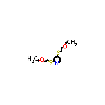 C=COCCSc1ccnc(SCCOC=C)c1